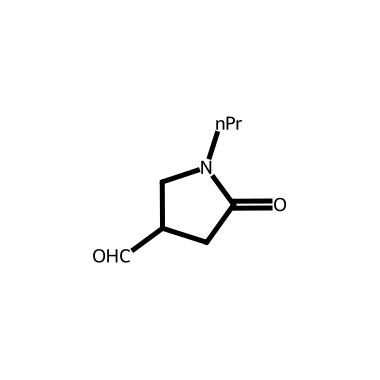 CCCN1CC(C=O)CC1=O